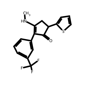 CNC1=C(c2cccc(C(F)(F)F)c2)C(=O)C(c2cccs2)C1